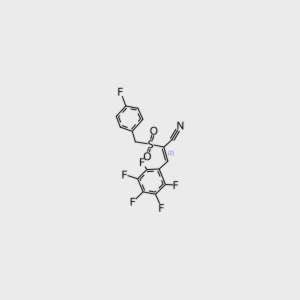 N#C/C(=C/c1c(F)c(F)c(F)c(F)c1F)S(=O)(=O)Cc1ccc(F)cc1